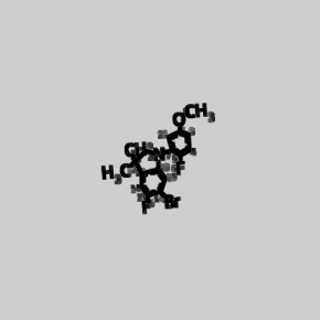 COc1ccc(F)c(N2CC(C)(C)c3cc(F)c(Br)cc32)c1